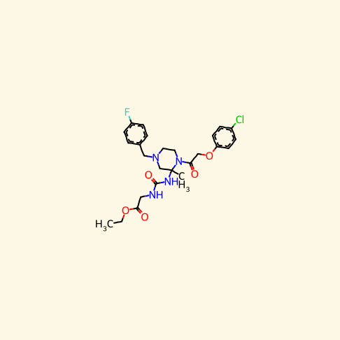 CCOC(=O)CNC(=O)NC1(C)CN(Cc2ccc(F)cc2)CCN1C(=O)COc1ccc(Cl)cc1